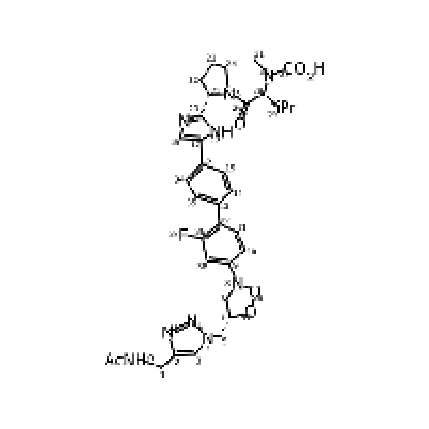 CC(=O)NCc1cn(C[C@@H]2CN(c3ccc(-c4ccc(-c5cnc([C@@H]6CCCN6C(=O)[C@H](C(C)C)N(C)C(=O)O)[nH]5)cc4)c(F)c3)OO2)nn1